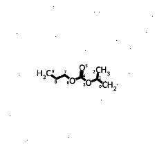 [CH2]C(C)OC(=O)OCCC